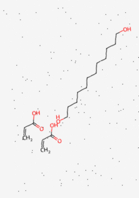 C=CC(=O)O.C=CC(=O)O.OCCCCCCCCCCCCO